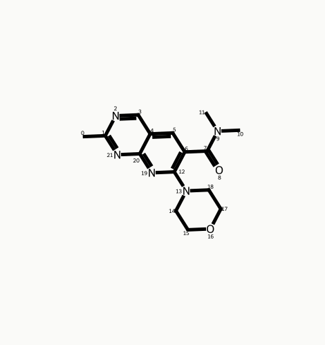 Cc1ncc2cc(C(=O)N(C)C)c(N3CCOCC3)nc2n1